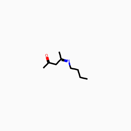 CCCCN=C(C)CC(C)=O